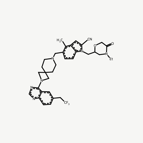 CCN1CC(Cn2c(C#N)cc3c(C)c(CN4CCC5(CC4)CN(c4ncnc6ccc(CC(F)(F)F)cc46)C5)ccc32)OCC1=O